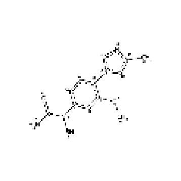 COc1cc(N(S)C(N)=O)ccc1-n1cnc(C)c1